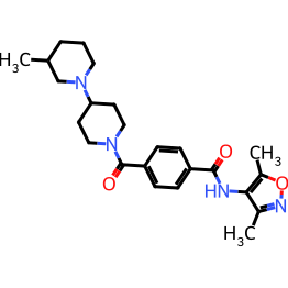 Cc1noc(C)c1NC(=O)c1ccc(C(=O)N2CCC(N3CCCC(C)C3)CC2)cc1